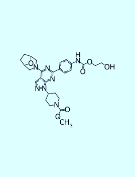 COC(=O)N1CCC(n2ncc3c(N4CC5CCC(C4)O5)nc(-c4ccc(NC(=O)OCCO)cc4)nc32)CC1